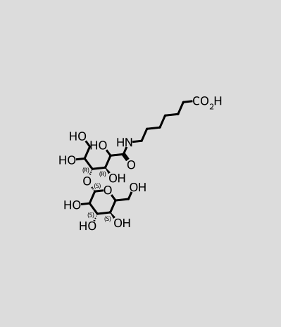 O=C(O)CCCCCCNC(=O)C(O)[C@@H](O)[C@H](O[C@@H]1OC(CO)[C@@H](O)[C@H](O)C1O)C(O)CO